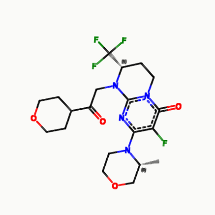 C[C@@H]1COCCN1c1nc2n(c(=O)c1F)CC[C@@H](C(F)(F)F)N2CC(=O)C1CCOCC1